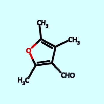 Cc1oc(C)c(C=O)c1C